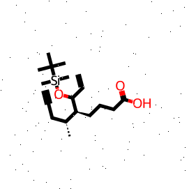 C#CC[C@@H](C)[C@H](CCCC(=O)O)C(C=C)O[Si](C)(C)C(C)(C)C